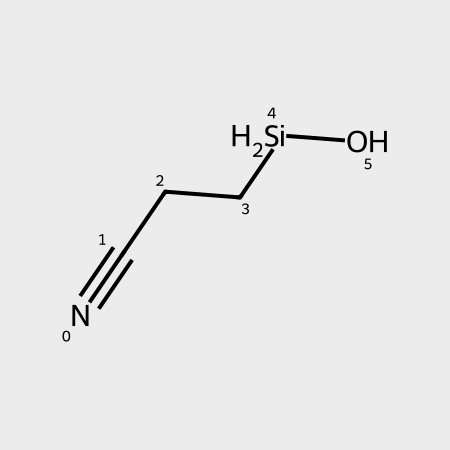 N#CCC[SiH2]O